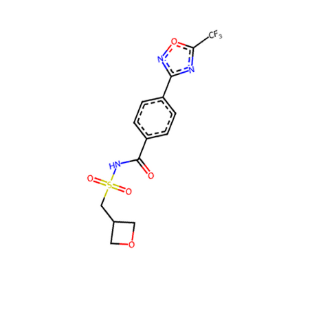 O=C(NS(=O)(=O)CC1COC1)c1ccc(-c2noc(C(F)(F)F)n2)cc1